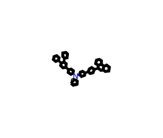 c1ccc(-c2ccc(-c3ccc(N(c4ccccc4)c4ccc(-c5ccc(-c6cc7ccccc7c7ccccc67)cc5)cc4)cc3)cc2-c2ccccc2)cc1